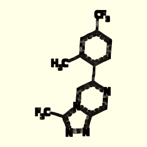 Cc1cc(C(F)(F)F)ccc1-c1cn2c(C(F)(F)F)nnc2cn1